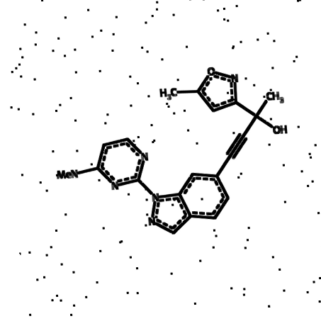 CNc1ccnc(-n2ncc3ccc(C#CC(C)(O)c4cc(C)on4)cc32)n1